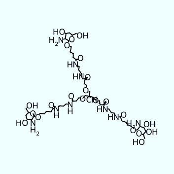 CC(COCCC(=O)NCCCNC(=O)CCCCOC1OC(CO)CC(O)C1N)(COCCC(=O)NCCCNC(=O)CCCCOC1OC(CO)CC(O)C1N)COCCC(=O)NCCCNC(=O)CCCCOC1OC(CO)C(O)C(O)C1N